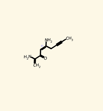 C=C(N)C(=O)/C=C(/N)CC#CC